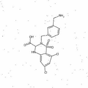 NCc1cccc(CN2C(C(=O)O)Nc3cc(Cl)cc(Cl)c3S2(=O)=O)c1